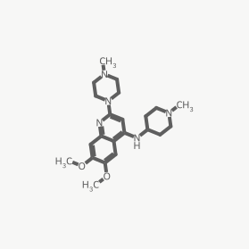 COc1cc2nc(N3CCN(C)CC3)cc(NC3CCN(C)CC3)c2cc1OC